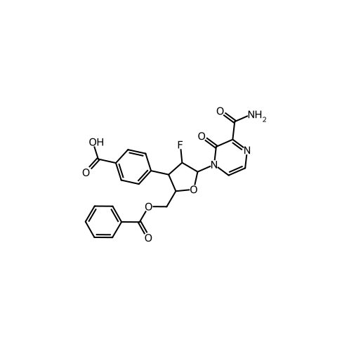 NC(=O)c1nccn(C2OC(COC(=O)c3ccccc3)C(c3ccc(C(=O)O)cc3)C2F)c1=O